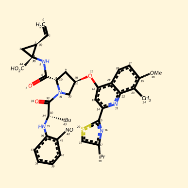 C=C[C@@H]1C[C@]1(NC(=O)[C@@H]1C[C@@H](Oc2cc(-c3nc(C(C)C)cs3)nc3c(C)c(OC)ccc23)CN1C(=O)[C@@H](Nc1ccccc1N=O)C(C)(C)C)C(=O)O